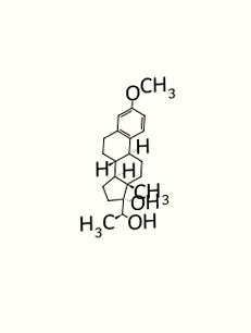 COc1ccc2c(c1)CC[C@@H]1[C@@H]2CC[C@@]2(C)[C@H]1CC[C@]2(O)[C@H](C)O